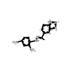 C/C(=N\Nc1ccc([N+](=O)[O-])cc1[N+](=O)[O-])c1ccc2[nH]nnc2c1